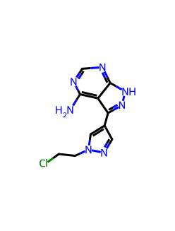 Nc1ncnc2[nH]nc(-c3cnn(CCCl)c3)c12